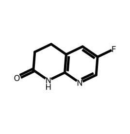 O=C1CCc2cc(F)cnc2N1